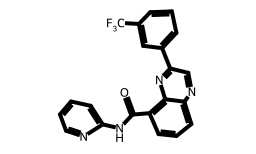 O=C(Nc1ccccn1)c1cccc2ncc(-c3cccc(C(F)(F)F)c3)nc12